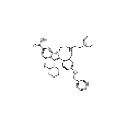 CCN(CC)CCN1CCn2c(c([C@@H]3CCCC[C@H]3F)c3ccc(C(=O)O)cc32)-c2ccc(OCc3cccnc3)cc2C1